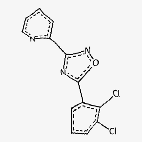 Clc1cccc(-c2nc(-c3ccccn3)no2)c1Cl